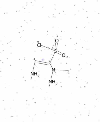 CN(N)/C(=C\N)S(=O)(=O)Cl